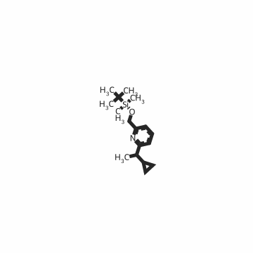 CC(c1cccc(CO[Si](C)(C)C(C)(C)C)n1)C1CC1